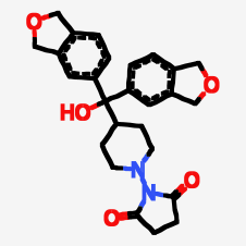 O=C1CCC(=O)N1N1CCC(C(O)(c2ccc3c(c2)COC3)c2ccc3c(c2)COC3)CC1